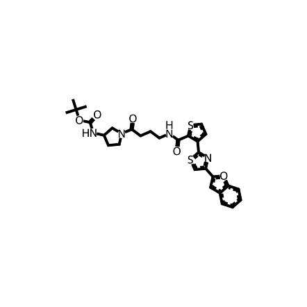 CC(C)(C)OC(=O)NC1CCN(C(=O)CCCNC(=O)c2sccc2-c2nc(-c3cc4ccccc4o3)cs2)C1